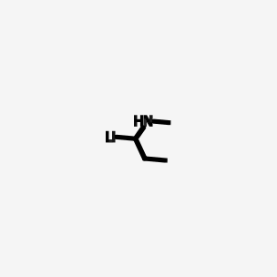 [Li][CH](CC)NC